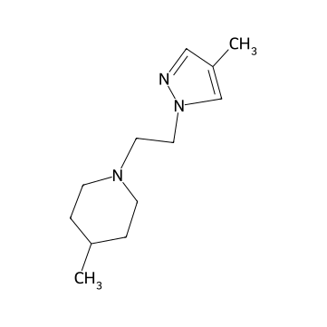 Cc1cnn(CCN2CCC(C)CC2)c1